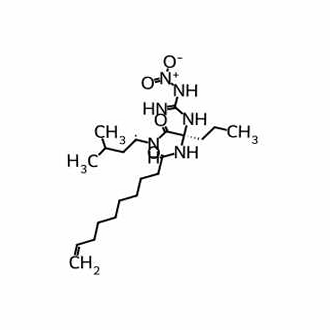 C=CCCCCCCCC(=O)N[C@](CCC)(NC(=N)N[N+](=O)[O-])C(=O)N[CH]CC(C)C